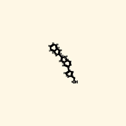 OCc1cc(-c2ccc3nc(-c4cc5ccccc5s4)cn3c2)cs1